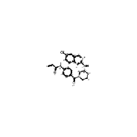 C=CC(=O)Nc1ccc(C(=O)N2CCC[C@@H](Nc3ncc4cc(Cl)ccc4n3)C2)cc1